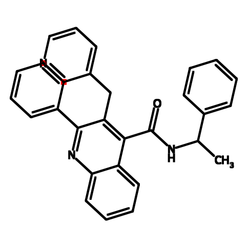 CC(NC(=O)c1c(Cc2cccnc2)c(-c2ccccc2)nc2ccccc12)c1ccccc1